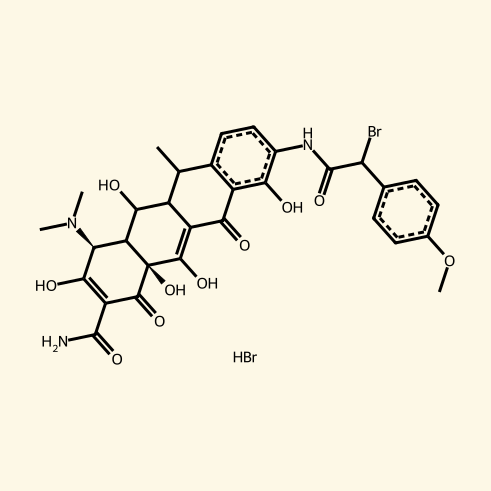 Br.COc1ccc(C(Br)C(=O)Nc2ccc3c(c2O)C(=O)C2=C(O)[C@]4(O)C(=O)C(C(N)=O)=C(O)[C@@H](N(C)C)C4C(O)C2C3C)cc1